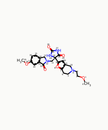 COCCN1CCc2oc([C@]3(CN4Cc5ccc(OC)cc5C4=O)NC(=O)NC3=O)cc2C1